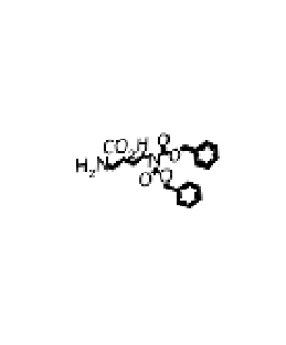 NCCCC(C(=O)O)N(C(=O)OCc1ccccc1)C(=O)OCc1ccccc1